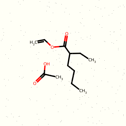 C=COC(=O)C(CC)CCCC.CC(=O)O